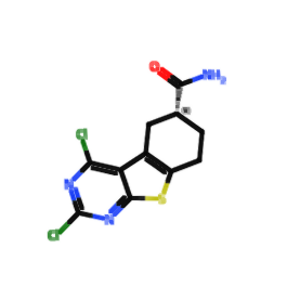 NC(=O)[C@@H]1CCc2sc3nc(Cl)nc(Cl)c3c2C1